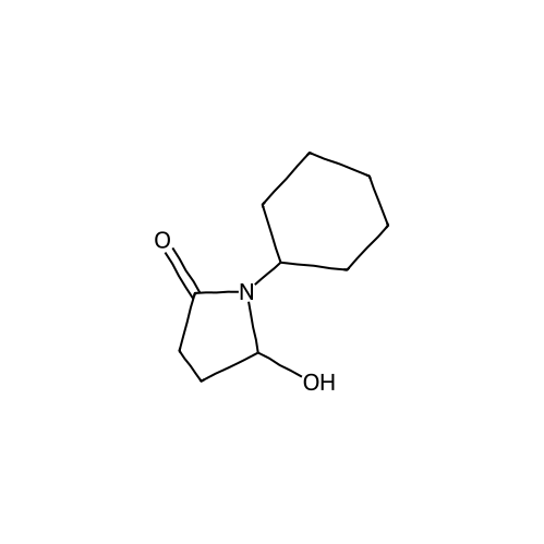 O=C1CCC(O)N1C1CCCCC1